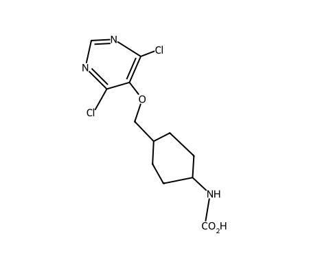 O=C(O)NC1CCC(COc2c(Cl)ncnc2Cl)CC1